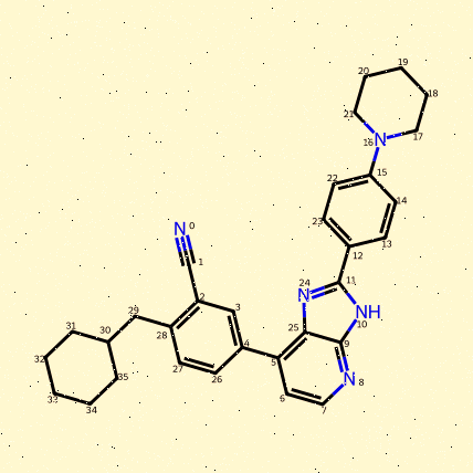 N#Cc1cc(-c2ccnc3[nH]c(-c4ccc(N5CCCCC5)cc4)nc23)ccc1CC1CCCCC1